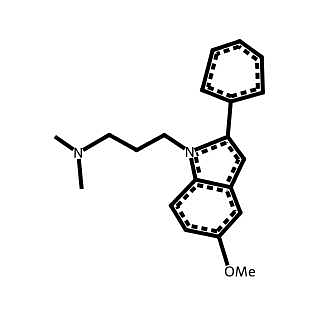 COc1ccc2c(c1)cc(-c1ccccc1)n2CCCN(C)C